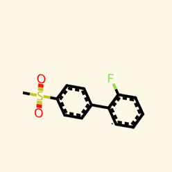 CS(=O)(=O)c1ccc(-c2[c]cccc2F)cc1